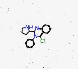 ClC1=c2ccccc2=NC(C2CCCN2)N1c1ccccc1